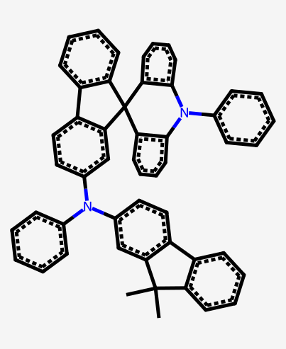 CC1(C)c2ccccc2-c2ccc(N(c3ccccc3)c3ccc4c(c3)C3(c5ccccc5-4)c4ccccc4N(c4ccccc4)c4ccccc43)cc21